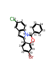 Clc1ccc2c(c1)cc1n2[C@@H](c2ccccc2)Oc2cc(Br)ccc2-1